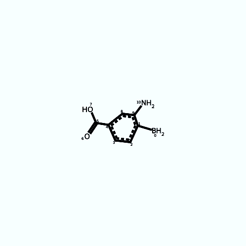 Bc1ccc(C(=O)O)cc1N